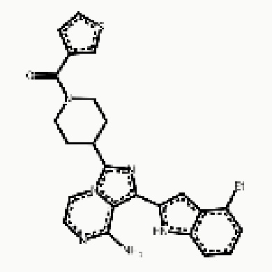 CCc1cccc2[nH]c(-c3nc(C4CCN(C(=O)c5ccsc5)CC4)n4ccnc(N)c34)cc12